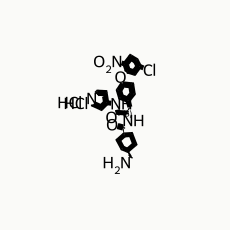 Cl.Cl.NC[C@H]1CC[C@H](C(=O)N[C@@H](Cc2ccc(Oc3cc(Cl)ccc3[N+](=O)[O-])cc2)C(=O)Nc2ccncc2)CC1